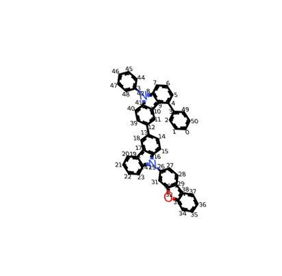 c1ccc(-c2cccc3c2c2cc(-c4ccc5c(c4)c4ccccc4n5-c4ccc5c(c4)oc4ccccc45)ccc2n3-c2ccccc2)cc1